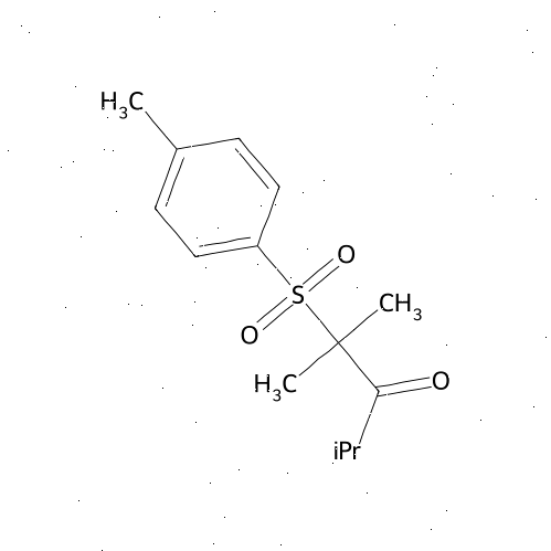 Cc1ccc(S(=O)(=O)C(C)(C)C(=O)C(C)C)cc1